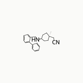 C[C@]1(CC#N)CC[C@@H](NCc2ccccc2-c2ccccc2)CC1